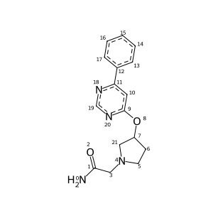 NC(=O)CN1CCC(Oc2cc(-c3ccccc3)ncn2)C1